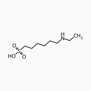 CCNCCCCCCS(=O)(=O)O